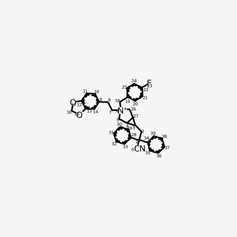 N#CC(CC1C2C[N+](CCc3ccc4c(c3)OCO4)(Cc3ccc(F)cc3)CC12)(c1ccccc1)c1ccccc1